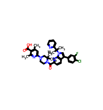 Cc1cc(N2CCN(C(=O)c3ccc4c(-c5ccc(Cl)c(F)c5)cn(C(C)(C)c5ccccn5)c4n3)C(C)(C)C2)nc(C)c1C(=O)O